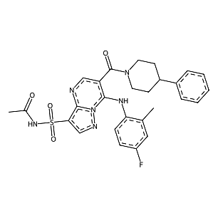 CC(=O)NS(=O)(=O)c1cnn2c(Nc3ccc(F)cc3C)c(C(=O)N3CCC(c4ccccc4)CC3)cnc12